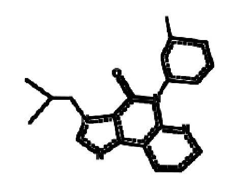 Cc1cccc(-n2c(=O)c3c(ncn3CC(C)C)c3cccnc32)c1